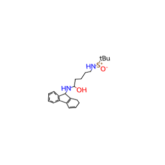 CC(C)(C)[S+]([O-])NCCCCC(O)NC1C2=C(C=CCC2)c2ccccc21